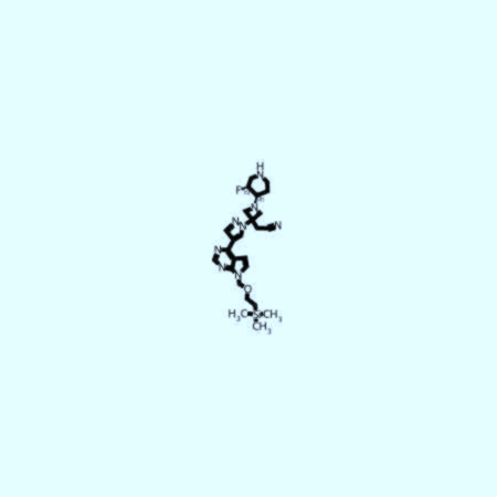 C[Si](C)(C)CCOCn1ccc2c(-c3cnn(C4(CC#N)CN([C@@H]5CCNC[C@@H]5F)C4)c3)ncnc21